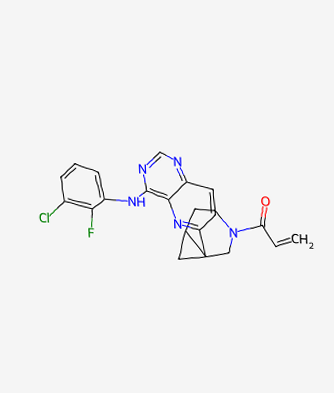 C=CC(=O)N1CCC2CC2(c2ccc3ncnc(Nc4cccc(Cl)c4F)c3n2)C1